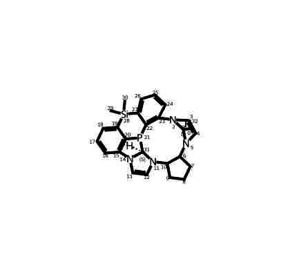 C[C@H]1N2C=CN1C1CCCC1N1C=CN3c4cccc5c4P(c4c2cccc4[Si]5(C)C)[C@H]31